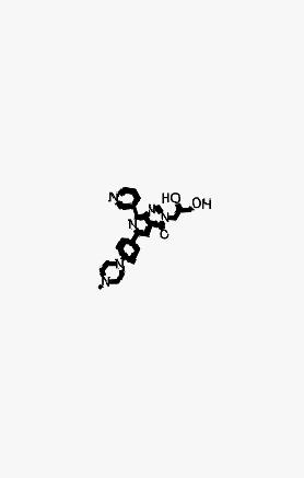 CN1CCN(c2ccc(-c3cc4c(=O)n(CC(O)CO)cnc4c(-c4cccnc4)n3)cc2)CC1